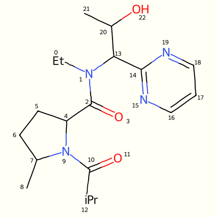 CCN(C(=O)C1CCC(C)N1C(=O)C(C)C)C(c1ncccn1)C(C)O